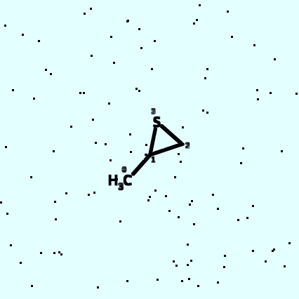 C[C]1CS1